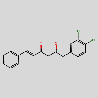 O=C(/C=C/c1ccccc1)CC(=O)Cc1ccc(Cl)c(Cl)c1